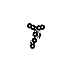 c1ccc2cc3c(cc2c1)c1cc2ccccc2cc1n3-c1ccc(-c2ccc3c(c2)sc2ccccc23)c2nccnc12